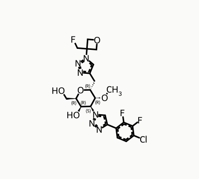 CO[C@@H]1[C@@H](n2cc(-c3ccc(Cl)c(F)c3F)nn2)[C@@H](O)[C@@H](CO)O[C@@H]1Cc1cn(C2(CF)COC2)nn1